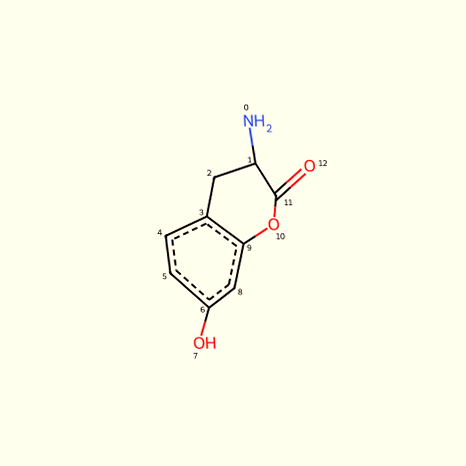 NC1Cc2ccc(O)cc2OC1=O